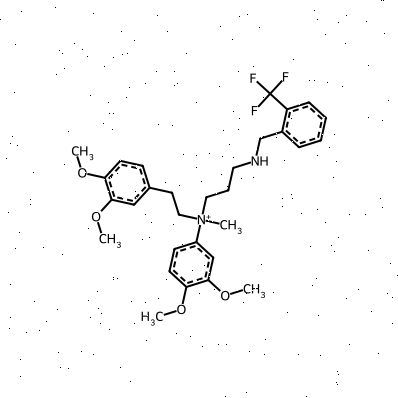 COc1ccc(CC[N+](C)(CCCNCc2ccccc2C(F)(F)F)c2ccc(OC)c(OC)c2)cc1OC